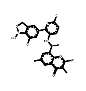 Cc1cc([C@H](C)Nc2ccc(Cl)nc2-c2cc(Cl)c3c(c2)COB3O)c2oc(C(C)C)c(C)c(=O)c2c1